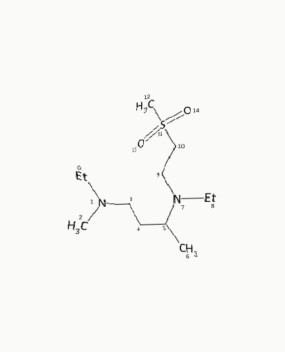 CCN(C)CCC(C)N(CC)CCS(C)(=O)=O